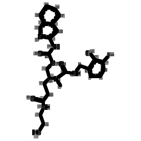 CN(C(=O)NCc1cccc(F)c1Cl)[C@@H](CCC(=O)NCCO)COC(=O)Nc1cc2ccccc2cn1